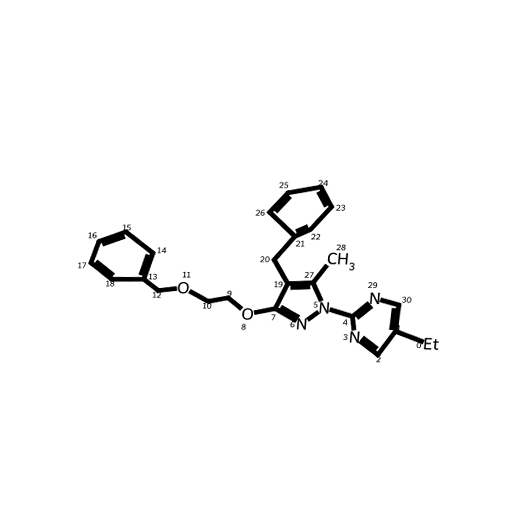 CCc1cnc(-n2nc(OCCOCc3ccccc3)c(Cc3ccccc3)c2C)nc1